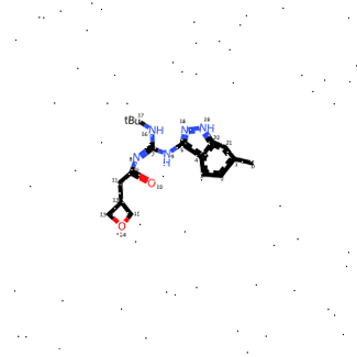 Cc1ccc2c(N/C(=N\C(=O)CC3COC3)NC(C)(C)C)n[nH]c2c1